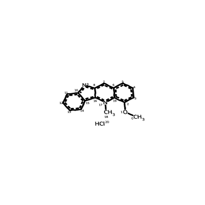 COc1cccc2cc3nc4ccccc4c-3n(C)c12.Cl